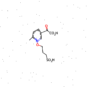 Cc1ccc(C(=O)C(=O)O)c[n+]1OCCCS(=O)(=O)O